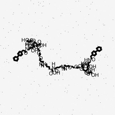 O=C(Cc1ccc(-c2ccccc2)cc1)NC[C@@H](O)[C@@H](O)[C@@H]1O[C@@](OCCOCCOCc2cn(CCCC[C@H](NC(=O)CCCn3cc(COCCOCCO[C@]4(C(=O)O)C[C@H](O)[C@@H](NC(=O)CO)[C@H]([C@H](O)[C@H](O)CNC(=O)Cc5ccc(-c6ccccc6)cc5)O4)nn3)C(=O)O)nn2)(C(=O)O)C[C@H](O)[C@H]1NC(=O)CO